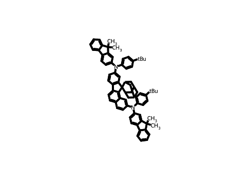 CC(C)(C)c1ccc(N(c2ccc3c(c2)C(C)(C)c2ccccc2-3)c2ccc3c(c2)C2(c4c-3ccc3ccc(N(c5ccc(C(C)(C)C)cc5)c5ccc6c(c5)C(C)(C)c5ccccc5-6)cc43)C3CC4CC(C3)CC2C4)cc1